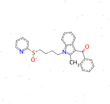 Cc1c(C(=O)c2ccccc2)c2ccccc2n1CCCC[S+]([O-])c1ccccn1